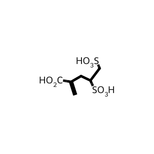 C=C(CC(CS(=O)(=O)O)S(=O)(=O)O)C(=O)O